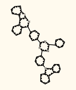 c1ccc(-c2nc(-c3ccc(-c4nc5sc6ccccc6c5c5ccccc45)cc3)nc(-c3cccc(-n4c5ccccc5c5ccccc54)c3)n2)cc1